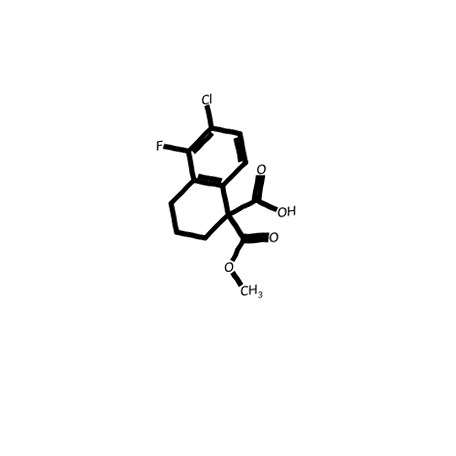 COC(=O)C1(C(=O)O)CCCc2c1ccc(Cl)c2F